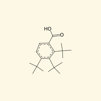 CC(C)(C)c1ccc(C(=O)O)c(C(C)(C)C)c1C(C)(C)C